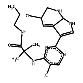 CCCNC(=O)C(C)(C)Nc1nc(C2=CNC3NCC(Cl)C=C23)ncc1C